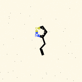 C=C[CH]c1ccsn1